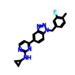 Cc1ccc(Cn2nnc3cc(-c4ccnc(NC5CC5)n4)ccc32)cc1F